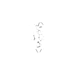 CC(=O)N(C(C)C)[C@@H]1C(NS(=O)(=O)c2ccccc2[N+](=O)[O-])CCCN1C(=S)Nc1ccccc1